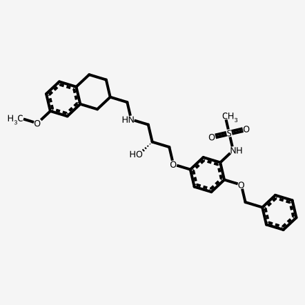 COc1ccc2c(c1)CC(CNC[C@@H](O)COc1ccc(OCc3ccccc3)c(NS(C)(=O)=O)c1)CC2